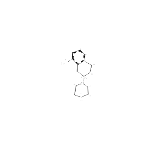 Oc1cccc2c1C[C@H](N1CCNCC1)CC2